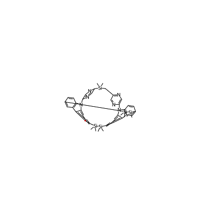 C[Si]1(C)Cc2cnc(cn2)-n2c3ccc4cc3c3cc(ccc32)[Si](C)(C)[Si](C)(C)c2ccc3c(c2)c2cc(ccc2n3-c2cnc1cn2)[Si](C)(C)[Si]4(C)C